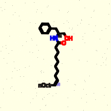 CCCCCCCC/C=C\CCCCCCCC(=O)N[C@H](CO)Cc1ccccc1